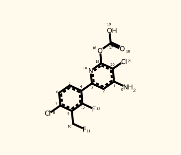 Nc1cc(-c2ccc(Cl)c(CF)c2F)nc(OC(=O)O)c1Cl